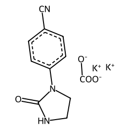 N#Cc1ccc(N2CCNC2=O)cc1.O=C([O-])[O-].[K+].[K+]